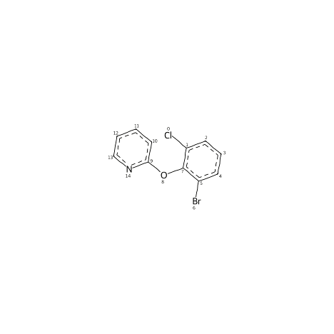 Clc1cccc(Br)c1Oc1ccccn1